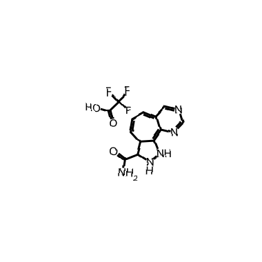 NC(=O)C1NNC2=c3ncncc3=CC=CC21.O=C(O)C(F)(F)F